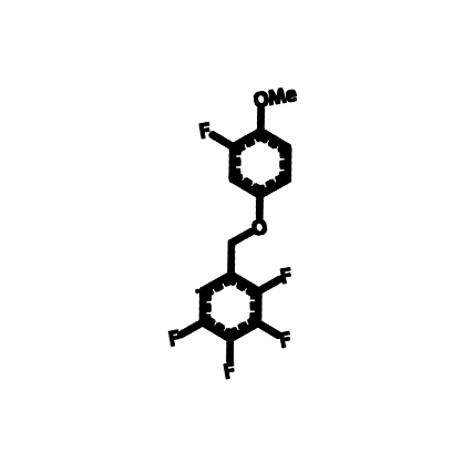 COc1ccc(OCc2[c]c(F)c(F)c(F)c2F)cc1F